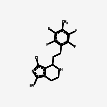 CCCc1nc(Cl)c2n1CCNC2CCc1c(F)c(F)c(C)c(F)c1F